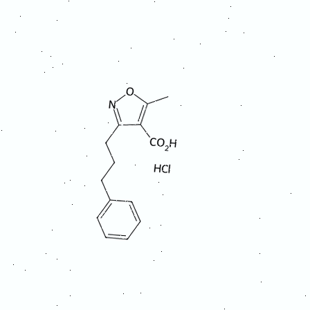 Cc1onc(CCCc2ccccc2)c1C(=O)O.Cl